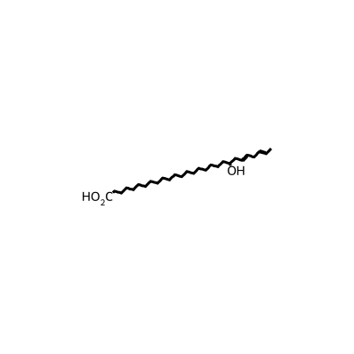 CC=CCC=CCC(O)CCCCCCCCCCCCCCCCCCCC(=O)O